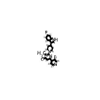 Cn1c(N2CCC(c3c[nH]c4cc(F)ccc34)CC2)nc(-c2ccncc2F)cc1=O